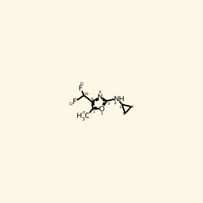 Cc1oc(NC2CC2)nc1C(F)F